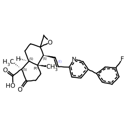 C[C@@]1(C(=O)O)C(=O)CC[C@@]2(C)[C@H](/C=C/c3ccc(-c4cccc(F)c4)cn3)C3(CC[C@H]12)CO3